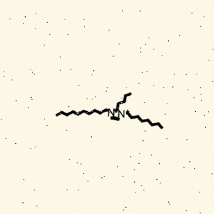 CCCCCCCCCCn1cc[n+](CCCCCCCC)c1CCCC